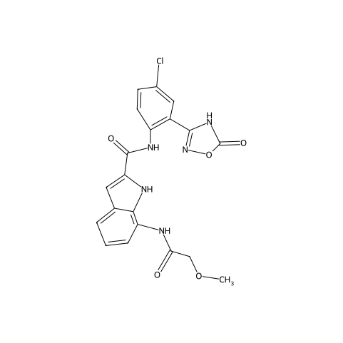 COCC(=O)Nc1cccc2cc(C(=O)Nc3ccc(Cl)cc3-c3noc(=O)[nH]3)[nH]c12